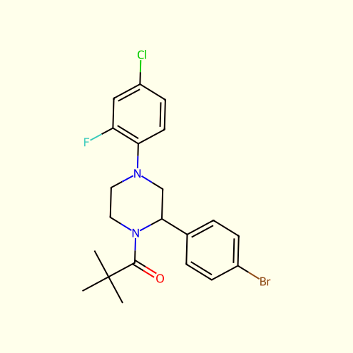 CC(C)(C)C(=O)N1CCN(c2ccc(Cl)cc2F)CC1c1ccc(Br)cc1